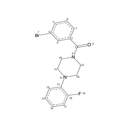 O=C(c1cccc(Br)c1)N1CCN(c2ccccc2F)CC1